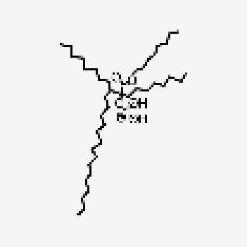 CCCCCCCCCCCCCCCC(CCCCCCCC)C(CCCCCCCC)(OP(=O)(O)O)C(=O)OCCCCCCCC